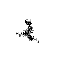 Cn1ncc2c(-c3ccc(NC(=O)Nc4cc(C(C)(C)C)nn4-c4ccc(S(C)(=O)=O)cc4)c(F)c3)cncc21